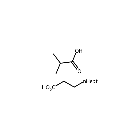 CC(C)C(=O)O.CCCCCCCCCC(=O)O